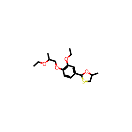 CCOc1cc(C2OC(C)CS2)ccc1OCC(C)OCC